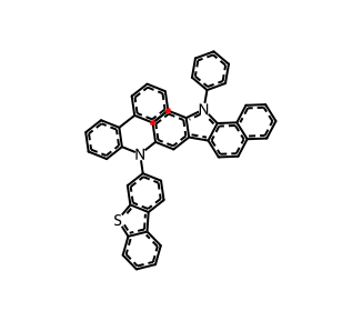 c1ccc(-c2ccccc2N(c2ccc3c(c2)sc2ccccc23)c2ccc3c(c2)c2ccc4ccccc4c2n3-c2ccccc2)cc1